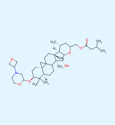 CC(C)CC(=O)OCC1C[C@@H](C)[C@H]2C(O1)[C@H](O)[C@@]1(C)C3CC[C@H]4C(C)(C)[C@@H](OC5CN(C6COC6)CCO5)CC[C@@]45CC35CC[C@]21C